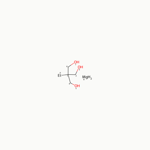 CCC(CO)(CO)CO.[MgH2]